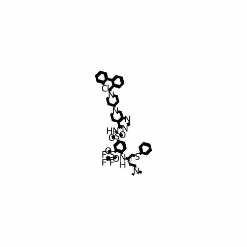 CN(C)CC[C@H](CSc1ccccc1)Nc1ccc(S(=O)(=O)Nc2ncnc3c2CCN(C2CCN(Cc4ccccc4-c4ccccc4Cl)CC2)C3)cc1S(=O)(=O)C(F)(F)F